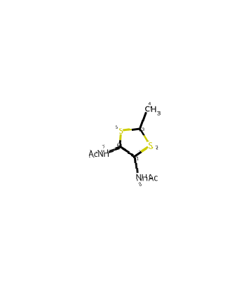 CC(=O)NC1SC(C)SC1NC(C)=O